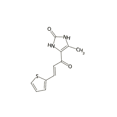 Cc1[nH]c(=O)[nH]c1C(=O)/C=C/c1cccs1